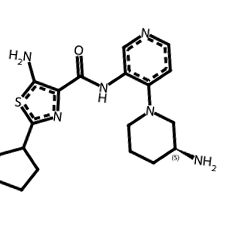 Nc1sc(C2CCCC2)nc1C(=O)Nc1cnccc1N1CCC[C@H](N)C1